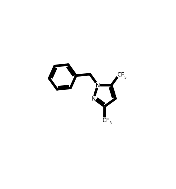 FC(F)(F)c1cc(C(F)(F)F)n(Cc2c[c]ccc2)n1